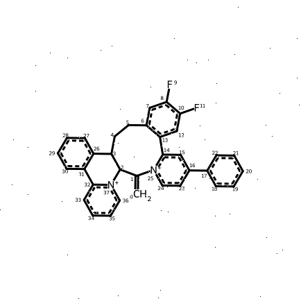 C=C1C2C(CCc3cc(F)c(F)cc3-c3cc(-c4ccccc4)cc[n+]31)c1ccccc1-c1cccc[n+]12